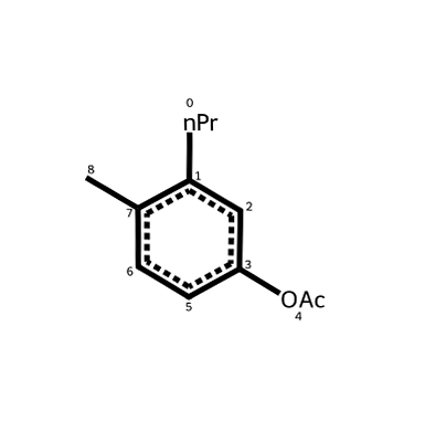 CCCc1cc(OC(C)=O)ccc1C